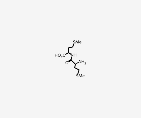 CSCCC(NC(=O)[C@@H](N)CCSC)C(=O)O